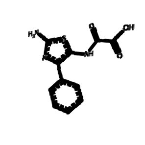 Nc1nc(-c2ccccc2)c(NC(=O)C(=O)O)s1